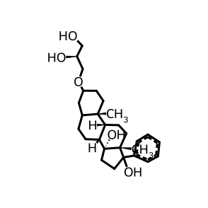 C[C@]12CCC(OC[C@@H](O)CO)CC1CC[C@@H]1[C@H]2CC[C@]2(C)C(O)(c3ccccc3)CC[C@@]12O